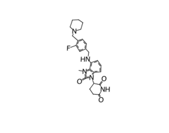 Cn1c(=O)n(C2CCC(=O)NC2=O)c2cccc(NCc3ccc(CN4CCCCC4)c(F)c3)c21